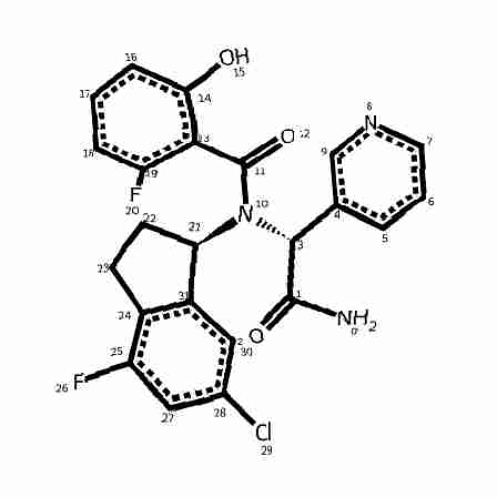 NC(=O)[C@@H](c1cccnc1)N(C(=O)c1c(O)cccc1F)[C@@H]1CCc2c(F)cc(Cl)cc21